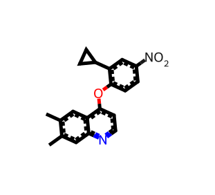 Cc1cc2nccc(Oc3ccc([N+](=O)[O-])cc3C3CC3)c2cc1C